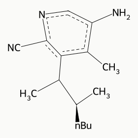 CCCC[C@H](C)C(C)c1c(C#N)ncc(N)c1C